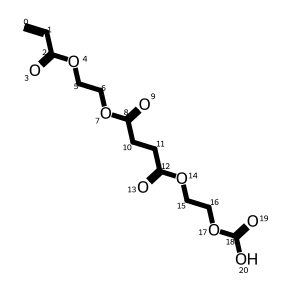 C=CC(=O)OCCOC(=O)CCC(=O)OCCOC(=O)O